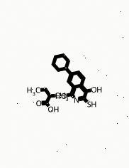 CCC(C)C(=O)O.Oc1nc(S)c(O)c2ccc(C3CCCCC3)cc12